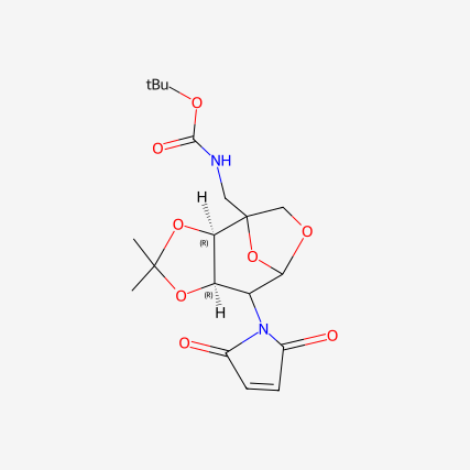 CC(C)(C)OC(=O)NCC12COC(O1)C(N1C(=O)C=CC1=O)[C@H]1OC(C)(C)O[C@H]12